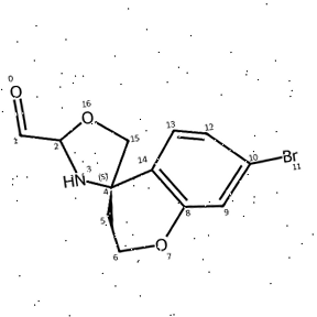 O=CC1N[C@]2(CCOc3cc(Br)ccc32)CO1